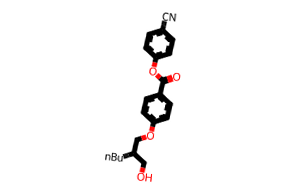 CCCCC(CO)COc1ccc(C(=O)Oc2ccc(C#N)cc2)cc1